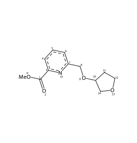 COC(=O)c1cccc(COC2CCOC2)n1